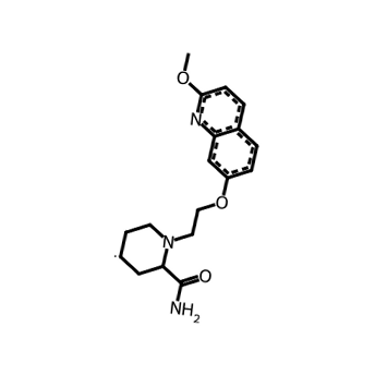 COc1ccc2ccc(OCCN3CC[CH]CC3C(N)=O)cc2n1